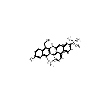 Cc1ccc2c(CC(C)C)c3c(c(C)c2c1)-c1c2c(cc4cc([Si](C)(C)C)ccc4c2cc[n+]1C)S3